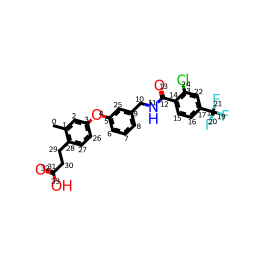 Cc1cc(Oc2cccc(CNC(=O)c3ccc(C(F)(F)F)cc3Cl)c2)ccc1CCC(=O)O